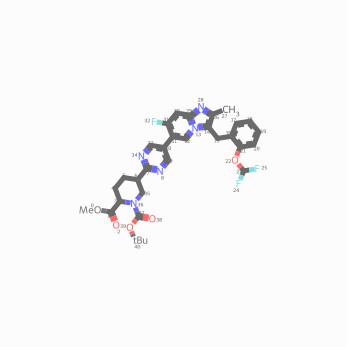 COC(=O)C1CCC(c2ncc(-c3cn4c(Cc5ccccc5OC(F)F)c(C)nc4cc3F)cn2)CN1C(=O)OC(C)(C)C